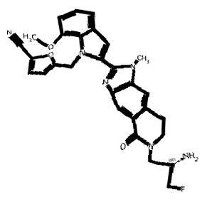 COc1cccc2cc(-c3nc4cc5c(cc4n3C)CCN(C[C@H](N)CF)C5=O)n(Cc3ccc(C#N)o3)c12